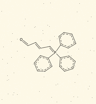 O=C/C=C/C=P(c1ccccc1)(c1ccccc1)c1ccccc1